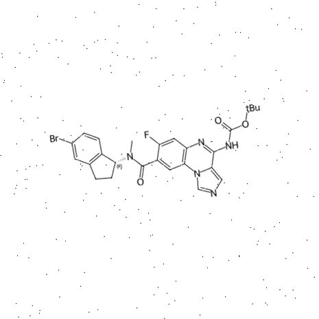 CN(C(=O)c1cc2c(cc1F)nc(NC(=O)OC(C)(C)C)c1cncn12)[C@@H]1CCc2cc(Br)ccc21